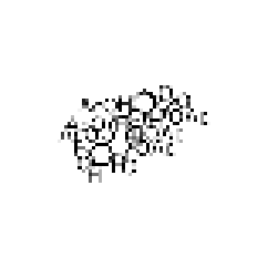 CC(=O)O[C@@H]1[C@H]2[C@H]3C([C@H](OC(C)=O)[C@H](OC(C)=O)[C@]2(C)[C@@H]2[C@@H]1[C@]1(C)C(=C[C@H]2C)OC(=O)[C@@]1(C)OC(C)=O)[C@]1(C)[C@H](C[C@@H]2O[C@@H]2[C@@H]1OC(C)=O)C(=O)[C@@H]3OC(C)=O